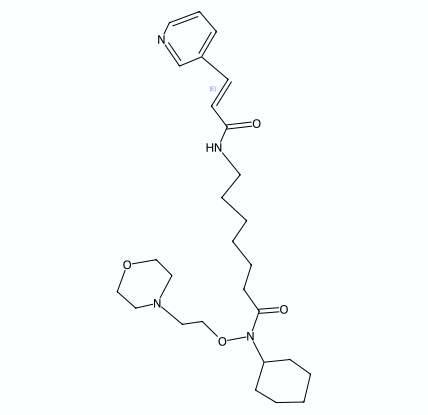 O=C(/C=C/c1cccnc1)NCCCCCCC(=O)N(OCCN1CCOCC1)C1CCCCC1